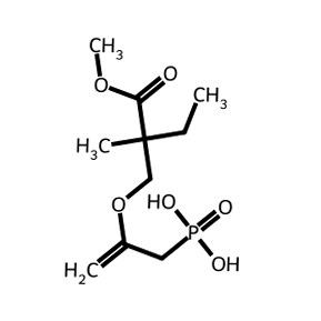 C=C(CP(=O)(O)O)OCC(C)(CC)C(=O)OC